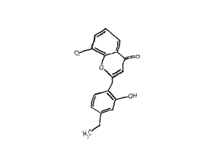 CCc1ccc(-c2cc(=O)c3cccc(Cl)c3o2)c(O)c1